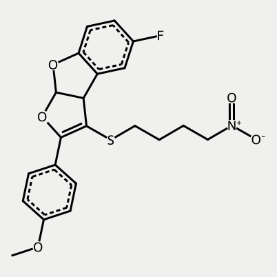 COc1ccc(C2=C(SCCCC[N+](=O)[O-])C3c4cc(F)ccc4OC3O2)cc1